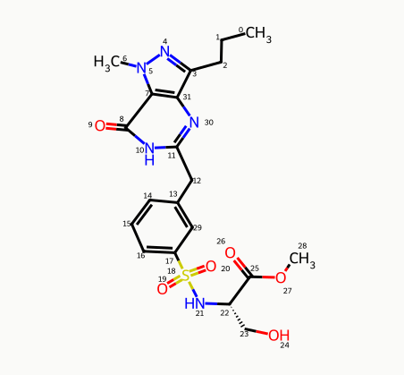 CCCc1nn(C)c2c(=O)[nH]c(Cc3cccc(S(=O)(=O)N[C@@H](CO)C(=O)OC)c3)nc12